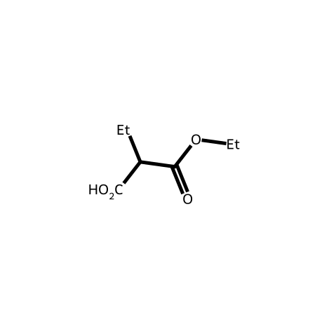 [CH2]CC(C(=O)O)C(=O)OCC